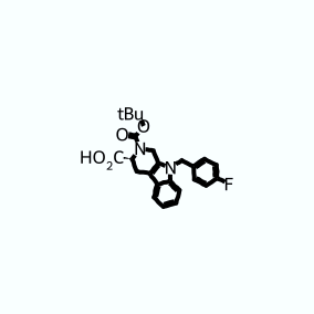 CC(C)(C)OC(=O)N1Cc2c(c3ccccc3n2Cc2ccc(F)cc2)C[C@@H]1C(=O)O